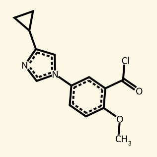 COc1ccc(-n2cnc(C3CC3)c2)cc1C(=O)Cl